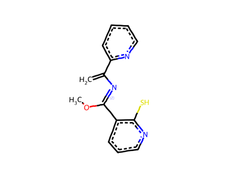 C=C(/N=C(\OC)c1cccnc1S)c1ccccn1